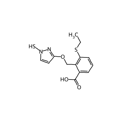 CCSc1cccc(C(=O)O)c1COc1ccn(S)n1